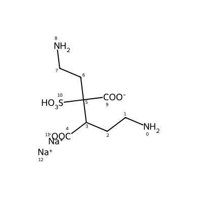 NCCC(C(=O)[O-])C(CCN)(C(=O)[O-])S(=O)(=O)O.[Na+].[Na+]